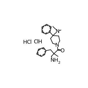 CN(C)C1(c2ccccc2)CCN(C(=O)C(C)(CN)Cc2ccccc2)CC1.Cl.Cl